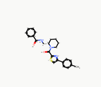 Cc1ccc(-c2csc(C(=O)N3CCCC[C@H]3CNC(=O)c3ccccc3)n2)cc1